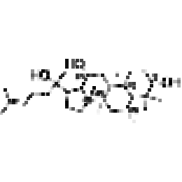 CC(C)=CCCC(C)(O)C1CC[C@]2(C)C1[C@H](O)CC1[C@@]3(C)CC[C@H](O)C(C)(C)C3[C@H](C)C[C@]12C